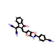 N#CC(C#N)=C1/C(=C/c2cc3oc(-c4ccc(C#N)cc4)nc3o2)C(=O)c2ccccc21